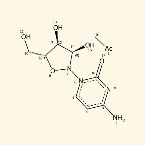 CC(C)=O.Nc1ccn(N2O[C@H](CO)[C@@H](O)[C@H]2O)c(=O)n1